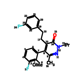 COc1c(F)cccc1-c1c(C)nn(C(C)C)c(=O)c1CCc1cccc(F)c1